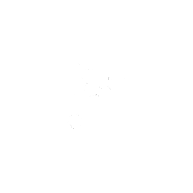 CNC(=S)N/N=C(CCc1ccncc1)\C(C)=N\NC(N)=S